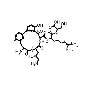 NCC(O)CC1NC(=O)C(N)Cc2cc(ccc2O)-c2ccc(O)c(c2)C(O)C(C(=O)NC(CCCN=C(N)N)C(=O)NC(CO)C(=O)O)NC1=O